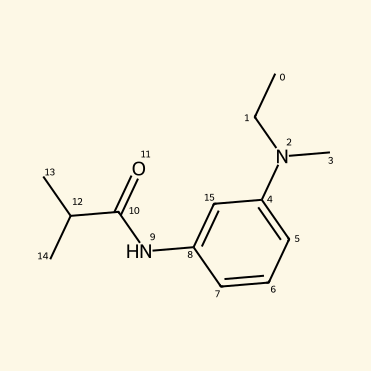 CCN(C)c1cccc(NC(=O)C(C)C)c1